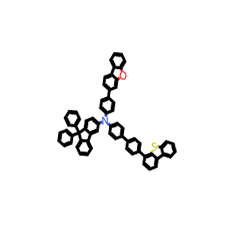 c1ccc(C2(c3ccccc3)c3ccccc3-c3cc(N(c4ccc(-c5ccc(-c6cccc7c6sc6ccccc67)cc5)cc4)c4ccc(-c5ccc6c(c5)oc5ccccc56)cc4)ccc32)cc1